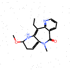 CCC1=C2NC(OC)CC=C2N(C)C(=O)c2cccnc21